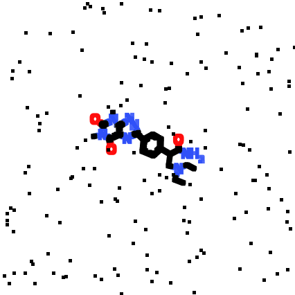 CCN(CC)CC(C(N)=O)c1ccc(-c2nnc3c(n2)c(=O)n(C)c(=O)n3C)cc1